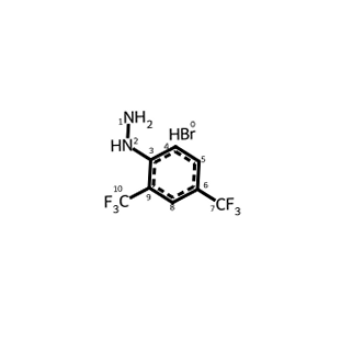 Br.NNc1ccc(C(F)(F)F)cc1C(F)(F)F